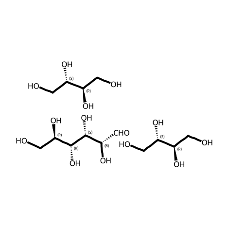 O=C[C@H](O)[C@@H](O)[C@H](O)[C@H](O)CO.OC[C@@H](O)[C@@H](O)CO.OC[C@@H](O)[C@@H](O)CO